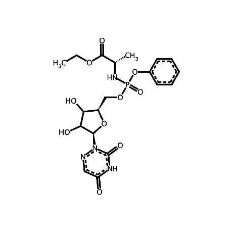 CCOC(=O)[C@H](C)NP(=O)(OC[C@H]1O[C@@H](n2ncc(=O)[nH]c2=O)C(O)C1O)Oc1ccccc1